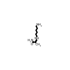 CC(=CNCCCCCCN)C(N)=O